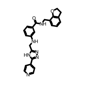 O=C(NCc1cccc2c1OCC2)c1cccc(NCc2nnc(-c3ccncc3)[nH]2)c1